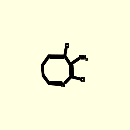 NC1=C(Cl)/N=C\CC/C=C\1Cl